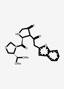 COC(OC)[C@@H]1CSCN1C(=O)[C@H]1NCC(=S)C1C(=O)Cc1cc2ccccc2o1